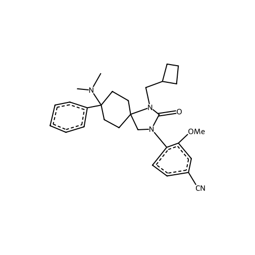 COc1cc(C#N)ccc1N1CC2(CCC(c3ccccc3)(N(C)C)CC2)N(CC2CCC2)C1=O